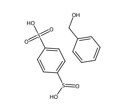 O=S(O)c1ccc(S(=O)(=O)O)cc1.OCc1ccccc1